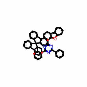 C1=CCC2(c3ccccc3-c3nc(-c4ccccc4)nc(-c4cccc5c4oc4ccccc45)n3)C(=C1)c1ccccc1C21c2ccccc2-c2ccccc21